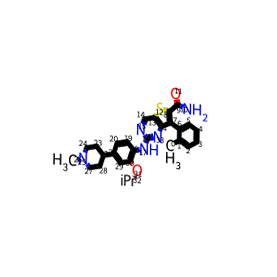 Cc1ccccc1-c1c(C(N)=O)sc2cnc(Nc3ccc(C4CCN(C)CC4)cc3OC(C)C)nc12